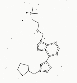 C[Si](C)(C)CCOCn1ccc2c(-c3cnn(CC4CCCC4)c3)ncnc21